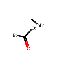 CCC(=O)CC.CCCC